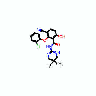 CC1(C)CN=C(NC(=O)c2c(O)ccc(C#N)c2Oc2ccccc2Cl)NC1